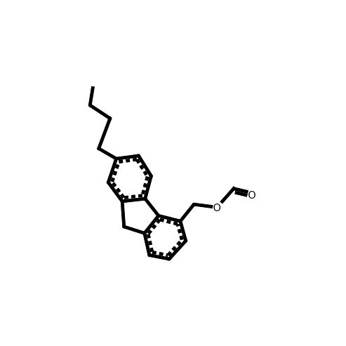 CCCCc1ccc2c(c1)Cc1cccc(CO[C]=O)c1-2